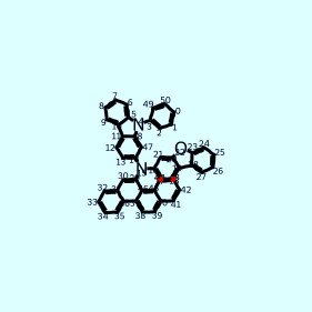 c1ccc(-n2c3ccccc3c3ccc(N(c4ccc5c(c4)oc4ccccc45)c4cc5ccccc5c5ccc6ccccc6c45)cc32)cc1